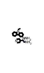 CCn1c2ccccc2c2cc(N(N)/C(=C\N)c3ccncc3)ccc21